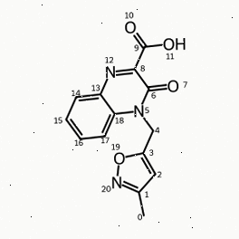 Cc1cc(Cn2c(=O)c(C(=O)O)nc3ccccc32)on1